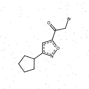 O=C(CBr)c1cc(C2CCCC2)no1